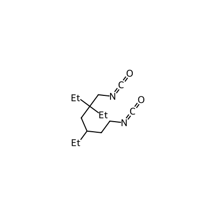 CCC(CCN=C=O)CC(CC)(CC)CN=C=O